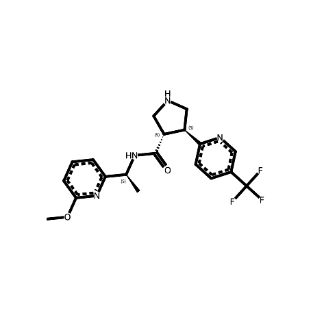 COc1cccc([C@H](C)NC(=O)[C@@H]2CNC[C@H]2c2ccc(C(F)(F)F)cn2)n1